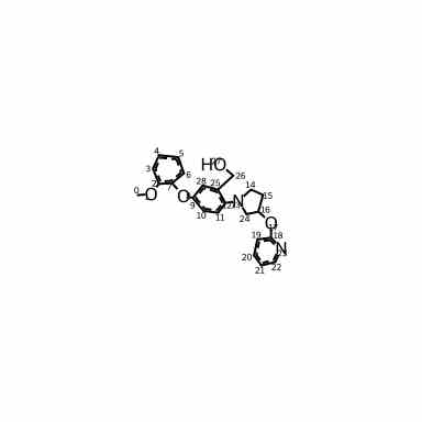 COc1ccccc1Oc1ccc(N2CCC(Oc3ccccn3)C2)c(CO)c1